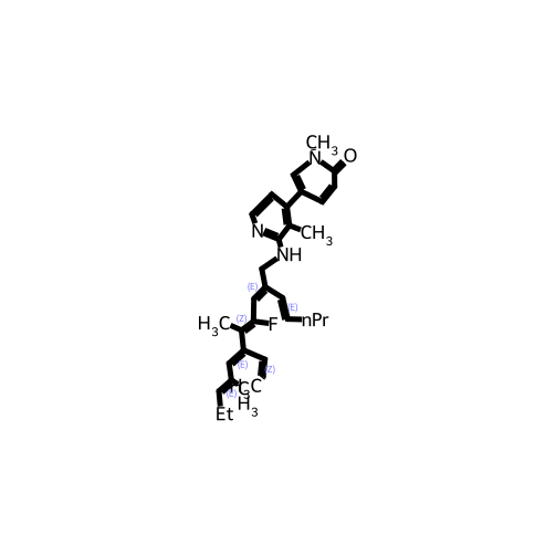 C\C=C/C(=C\C(C)=C\CC)C(/C)=C(F)/C=C(\C=C\CCC)CNc1nccc(-c2ccc(=O)n(C)c2)c1C